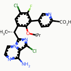 CC(C)Oc1c([C@@H](C)c2nc(Cl)c3c(N)nccn23)cc(Cl)c(F)c1-c1ccc(C(=O)O)nc1